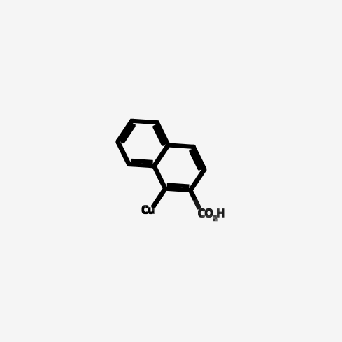 O=C(O)c1ccc2ccccc2[c]1[Cu]